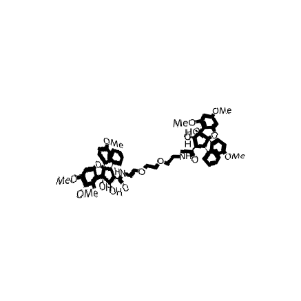 COc1ccc([C@@]23Oc4cc(OC)cc(OC)c4[C@]2(O)[C@H](O)[C@H](C(=O)CNCCOCCOCCNC(=O)[C@H]2[C@@H](O)[C@@]4(O)c5c(OC)cc(OC)cc5O[C@@]4(c4ccc(OC)cc4)[C@@H]2c2ccccc2)[C@H]3c2ccccc2)cc1